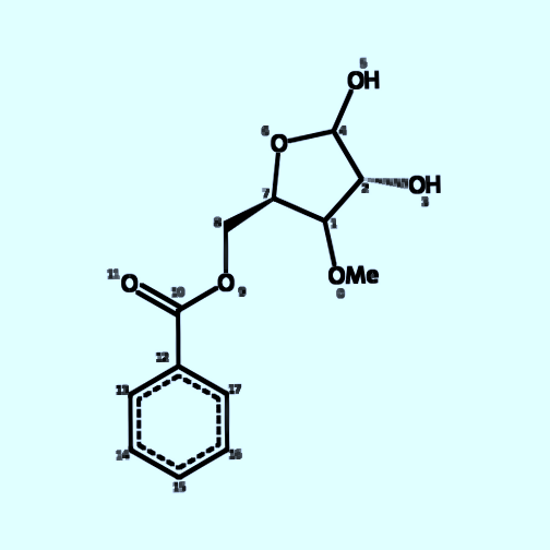 COC1[C@@H](O)C(O)O[C@@H]1COC(=O)c1ccccc1